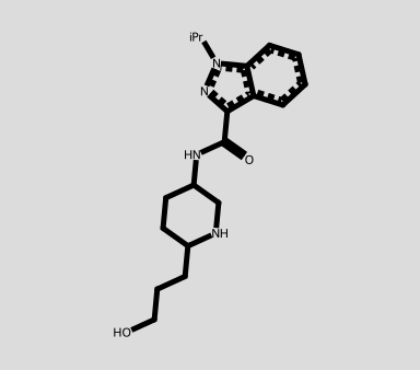 CC(C)n1nc(C(=O)NC2CCC(CCCO)NC2)c2ccccc21